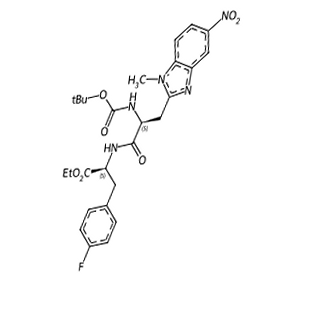 CCOC(=O)[C@H](Cc1ccc(F)cc1)NC(=O)[C@H](Cc1nc2cc([N+](=O)[O-])ccc2n1C)NC(=O)OC(C)(C)C